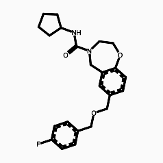 O=C(NC1CCCC1)N1CCOc2ccc(COCc3ccc(F)cc3)cc2C1